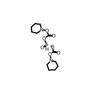 O=C(ON1CCCCC1)O[PH](=O)OC(=O)ON1CCCCC1